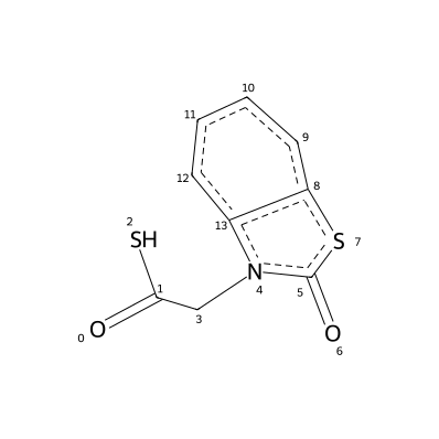 O=C(S)Cn1c(=O)sc2ccccc21